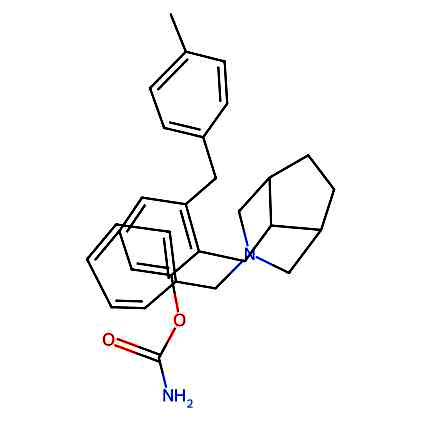 Cc1ccc(Cc2cccc(OC(N)=O)c2CC2C3CCC2CN(Cc2ccccc2)C3)cc1